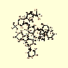 CC(C)(C)c1ccc2c3ccc(C(C)(C)C)cc3n(-c3cc4c5c(c3)-n3c6c(c7cc(-c8ccccc8)cc(c73)B5c3c[nH]c5ccccc5c-4cc(-c4ccccc4)c3)=CCCC=6)c2c1